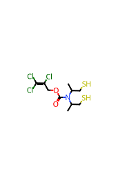 CC(CS)N(C(=O)OCC(Cl)=C(Cl)Cl)C(C)CS